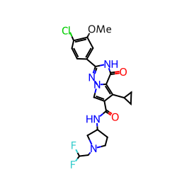 COc1cc(-c2nn3cc(C(=O)NC4CCN(CC(F)F)C4)c(C4CC4)c3c(=O)[nH]2)ccc1Cl